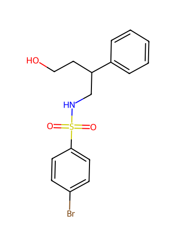 O=S(=O)(NCC(CCO)c1ccccc1)c1ccc(Br)cc1